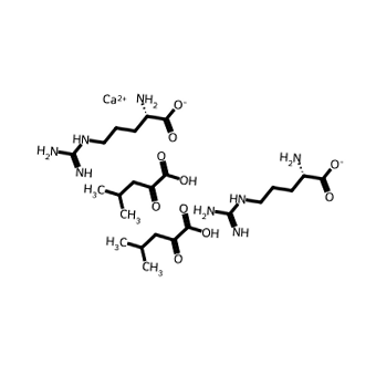 CC(C)CC(=O)C(=O)O.CC(C)CC(=O)C(=O)O.N=C(N)NCCC[C@H](N)C(=O)[O-].N=C(N)NCCC[C@H](N)C(=O)[O-].[Ca+2]